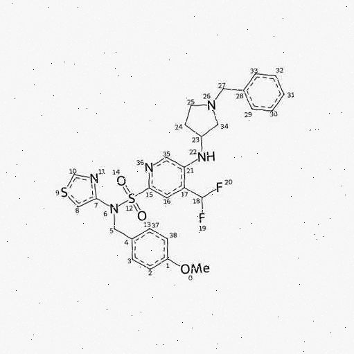 COc1ccc(CN(c2cscn2)S(=O)(=O)c2cc(C(F)F)c(NC3CCN(Cc4ccccc4)C3)cn2)cc1